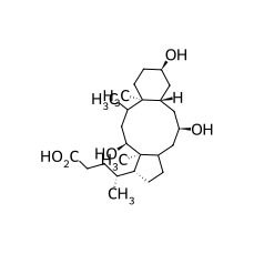 CC1C[C@H](O)[C@@]2(C)C(CC[C@@H]2[C@H](C)CCC(=O)O)C[C@H](O)C[C@H]2C[C@H](O)CC[C@]12C